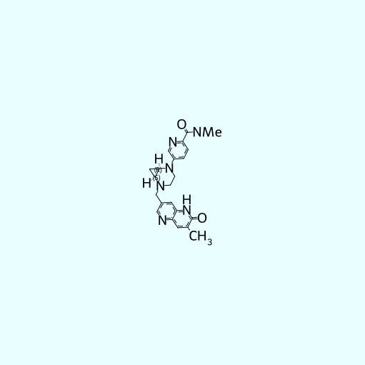 CNC(=O)c1ccc(N2CCN(Cc3cnc4cc(C)c(=O)[nH]c4c3)[C@H]3C[C@H]32)cn1